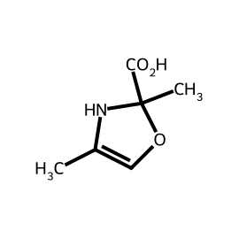 CC1=COC(C)(C(=O)O)N1